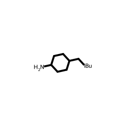 CCC(C)CC1CCC(N)CC1